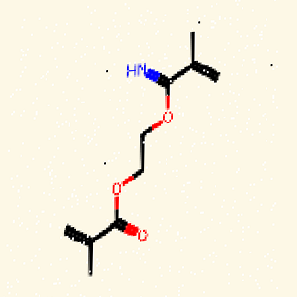 C=C(C)C(=N)OCCOC(=O)C(=C)C